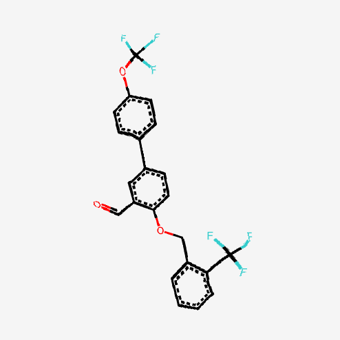 O=Cc1cc(-c2ccc(OC(F)(F)F)cc2)ccc1OCc1ccccc1C(F)(F)F